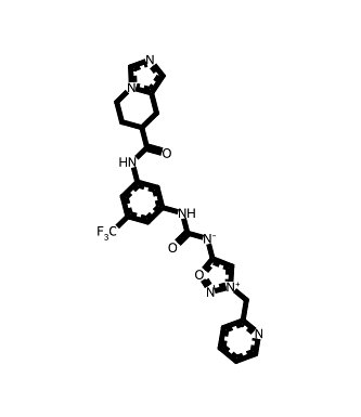 O=C([N-]c1c[n+](Cc2ccccn2)no1)Nc1cc(NC(=O)C2CCn3cncc3C2)cc(C(F)(F)F)c1